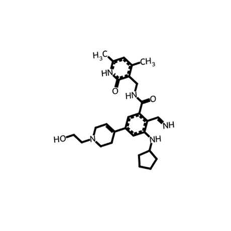 Cc1cc(C)c(CNC(=O)c2cc(C3=CCN(CCO)CC3)cc(NC3CCCC3)c2C=N)c(=O)[nH]1